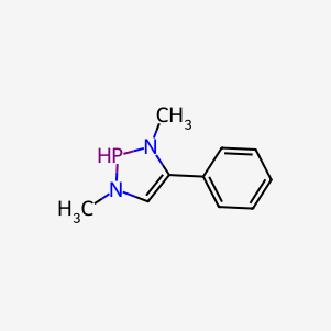 CN1C=C(c2ccccc2)N(C)P1